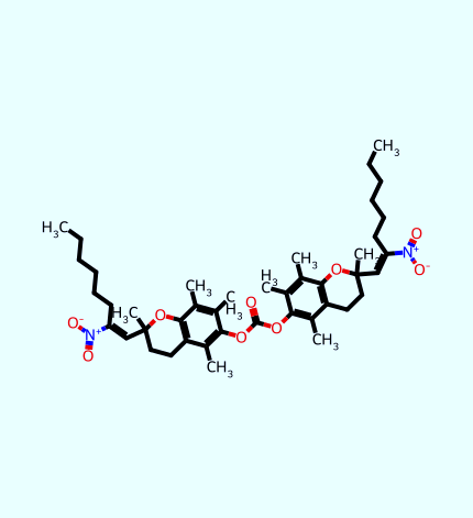 CCCCCC/C(=C\C1(C)CCc2c(C)c(OC(=O)Oc3c(C)c(C)c4c(c3C)CCC(C)(/C=C(\CCCCCC)[N+](=O)[O-])O4)c(C)c(C)c2O1)[N+](=O)[O-]